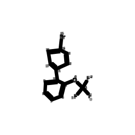 FC(F)(F)Oc1ccccc1-c1c[c]c(Br)cc1